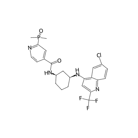 CP(C)(=O)c1cc(C(=O)N[C@@H]2CCC[C@H](Nc3cc(C(F)(F)F)nc4ccc(Cl)cc34)C2)ccn1